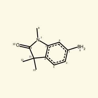 Bc1ccc2c(c1)N(C)C(=O)C2(C)C